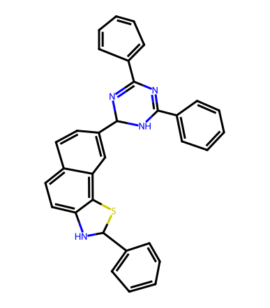 c1ccc(C2=NC(c3ccc4ccc5c(c4c3)SC(c3ccccc3)N5)NC(c3ccccc3)=N2)cc1